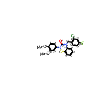 COc1ccc(N2Sc3ccccc3N(Cc3ccc(F)cc3Cl)C2=O)cc1OC